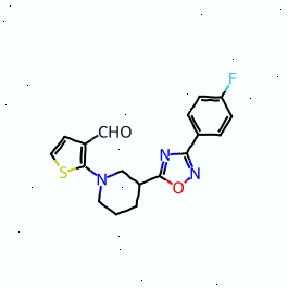 O=Cc1ccsc1N1CCCC(c2nc(-c3ccc(F)cc3)no2)C1